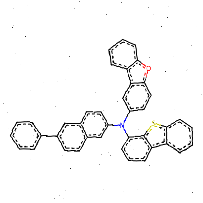 c1ccc(-c2ccc3cc(N(c4ccc5oc6ccccc6c5c4)c4cccc5c4sc4ccccc45)ccc3c2)cc1